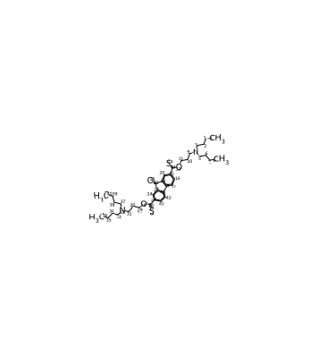 CCCCN(CCCC)CCCOC(=S)c1ccc2c(c1)C(=O)c1cc(C(=S)OCCCN(CCCC)CCCC)ccc1-2